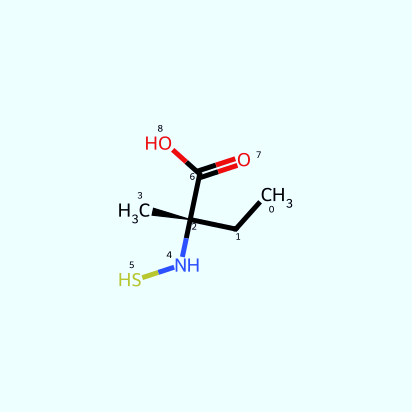 CC[C@](C)(NS)C(=O)O